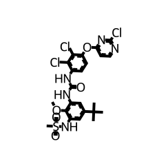 COc1c(NC(=O)Nc2ccc(Oc3ccnc(Cl)n3)c(Cl)c2Cl)cc(C(C)(C)C)cc1NS(C)(=O)=O